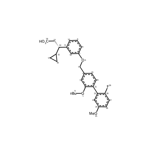 CCCCOc1cc(COc2cccc([C@@H](CC(=O)O)C3CC3)c2)ccc1-c1cc(OC)ccc1F